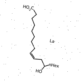 CCCCCCC(O)C/C=C\CCCCCCCC(=O)O.[La]